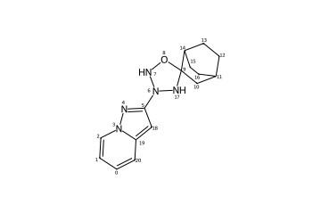 c1ccn2nc(N3NOC4(CC5CCC4CC5)N3)cc2c1